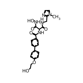 Cn1ccnc1CNC(=O)C(NC(=O)c1ccc(-c2ccc(OCCO)cc2)cc1)C(=O)NO